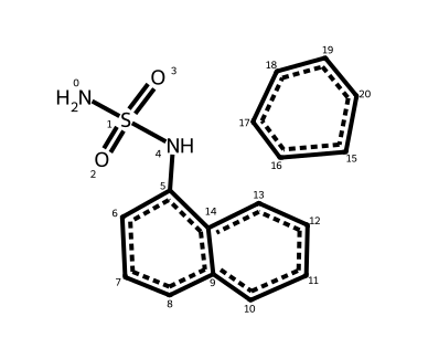 NS(=O)(=O)Nc1cccc2ccccc12.c1ccccc1